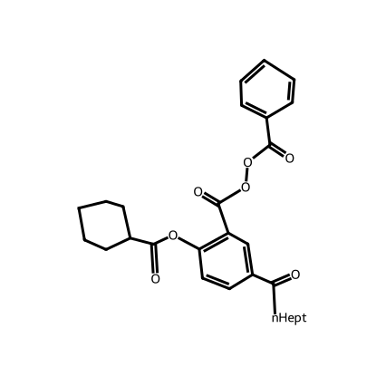 CCCCCCCC(=O)c1ccc(OC(=O)C2CCCCC2)c(C(=O)OOC(=O)c2ccccc2)c1